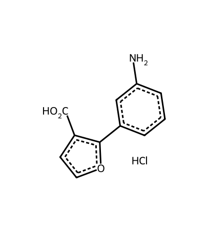 Cl.Nc1cccc(-c2occc2C(=O)O)c1